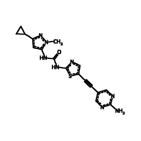 Cn1nc(C2CC2)cc1NC(=O)Nc1ncc(C#Cc2cnc(N)nc2)s1